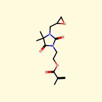 C=C(C)C(=O)OCCN1C(=O)N(CC2CO2)C(C)(C)C1=O